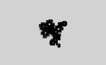 CCOc1ccc(-c2ccc(N=C=O)cc2-c2nnn(C(c3ccccc3)(c3ccccc3)c3ccccc3)n2)cn1